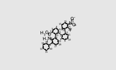 COc1cccc(-c2ccccc2-c2cccc([N+](=O)[O-])c2F)c1-c1cccc(-c2ccccc2)c1N